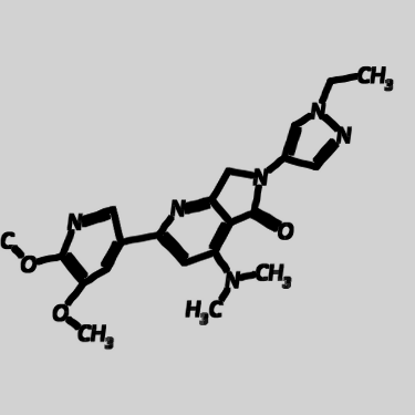 CCn1cc(N2Cc3nc(-c4cnc(OC)c(OC)c4)cc(N(C)C)c3C2=O)cn1